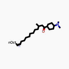 CCCCCCCC/C=C\CCCCCCCCC(C)CC(=O)C1CCC(N(C)C)CC1